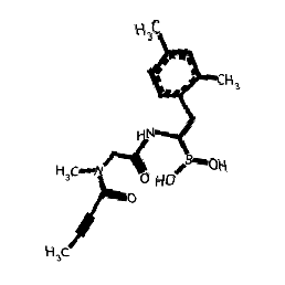 CC#CC(=O)N(C)CC(=O)NC(Cc1ccc(C)cc1C)B(O)O